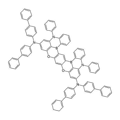 C1=CC(c2ccc(N(c3ccc(-c4ccccc4)cc3)c3cc4c5c(c3)N(c3ccccc3)c3ccccc3B5c3cc5c(cc3O4)Oc3cc(N(c4ccc(-c6ccccc6)cc4)c4ccc(-c6ccccc6)cc4)cc4c3B5c3ccccc3N4c3ccccc3)cc2)=CCC1